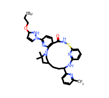 CC(C)(C)CCOC1C=CN(c2ccc3c(n2)N2CC(CCC(c4cccc(C(F)(F)F)n4)Nc4cccc(n4)SNC3=O)CC2(C)C)N1